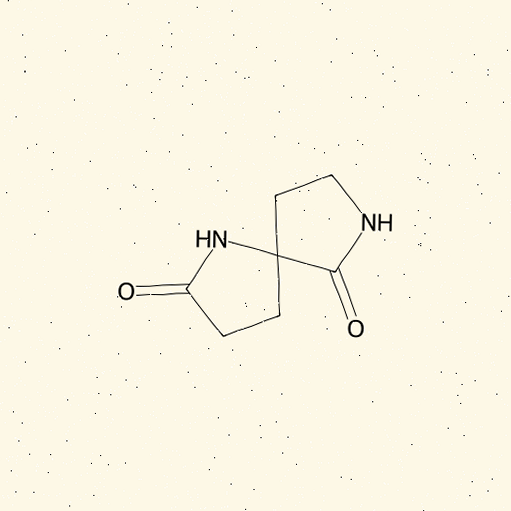 O=C1CCC2(CCNC2=O)N1